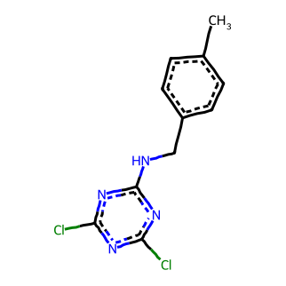 Cc1ccc(CNc2nc(Cl)nc(Cl)n2)cc1